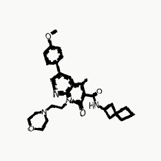 COc1ccc(-c2cnc3c(c2)c(C)c(C(=O)NC2CC4(CCC4)C2)c(=O)n3CCN2CCOCC2)cc1